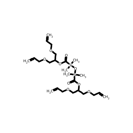 C=CCOCC(COCC=C)OC(=O)[Si](C)(C)O[Si](C)(C)C(=O)OC(COCC=C)COCC=C